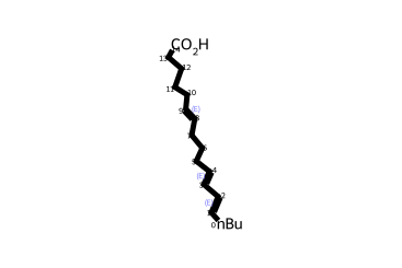 CCCC/C=C/C=C/CCC/C=C/CCCCC(=O)O